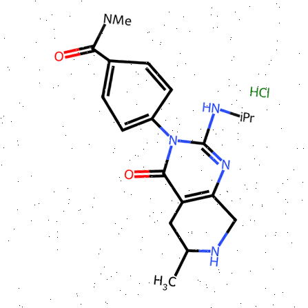 CNC(=O)c1ccc(-n2c(NC(C)C)nc3c(c2=O)CC(C)NC3)cc1.Cl